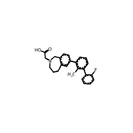 Cc1c(-c2ccc3c(c2)CCCN(CC(=O)O)C3)cccc1-c1ccccc1F